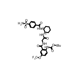 CC(C)(C)OC(=O)Nc1ccc(OC(F)(F)F)cc1C(=O)NCC(=O)N[C@@H]1CCCC[C@@H]1NC(=O)c1ccc(S(N)(=O)=O)cc1